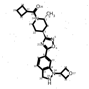 C[C@@H]1C[C@@H](c2noc(-c3ccc4c(c3)N(C3COC3)NC4)n2)CCN1C(=O)C1CCC1